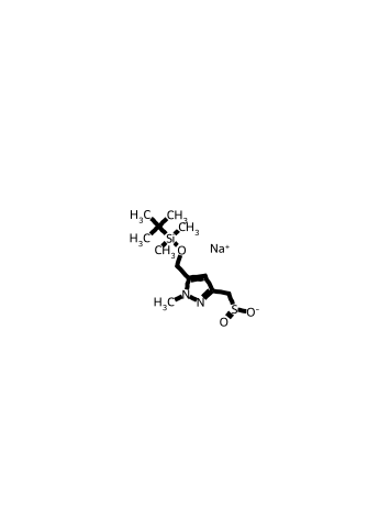 Cn1nc(CS(=O)[O-])cc1CO[Si](C)(C)C(C)(C)C.[Na+]